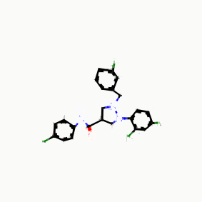 O=C(Nc1ccc(Cl)cc1)C1CN(Cc2cccc(F)c2)N(c2ccc(Cl)cc2Cl)C1